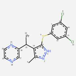 Cc1n[nH]c(Sc2cc(Cl)cc(Cl)c2)c1C(c1cnccn1)C(C)C